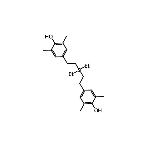 CC[Si](CC)(CCc1cc(C)c(O)c(C)c1)CCc1cc(C)c(O)c(C)c1